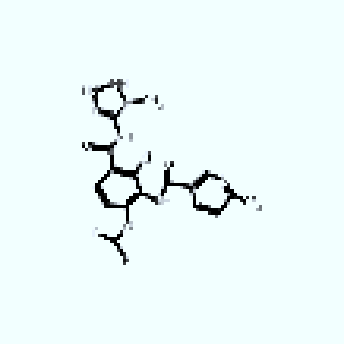 CN1NNN=C1NC(=O)c1ccc(OC(F)F)c(NC(=O)c2ccc(C(F)(F)F)nc2)c1Cl